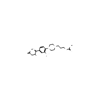 CSC(=N)NCCCN1CCN(c2ccc(C3=NNC(=O)CC3C)cc2[N+](=O)[O-])CC1